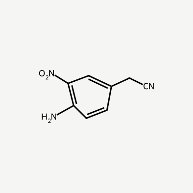 N#CCc1ccc(N)c([N+](=O)[O-])c1